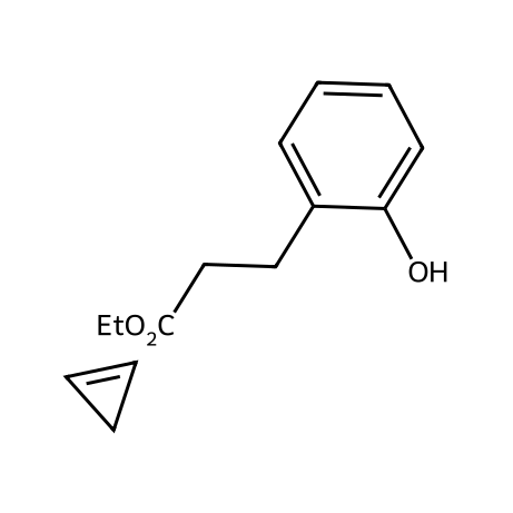 C1=CC1.CCOC(=O)CCc1ccccc1O